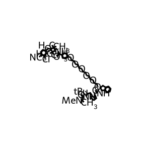 CN[C@@H](C)C(=O)N[C@H](CN1CCC[C@H]1C(=O)N[C@H]1c2ccccc2C[C@H]1OCCOCCOCCOCCOCCOc1ccc(C(=O)NC2C(C)(C)C(Oc3ccc(C#N)c(Cl)c3)C2(C)C)cc1)C(C)(C)C